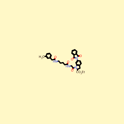 CCOC(=O)C1Cc2ccc(N3C(=O)c4ccccc4C3=O)cc2N1C(=O)CNC(=O)CCCCNC(=O)Cc1cccc(C)c1